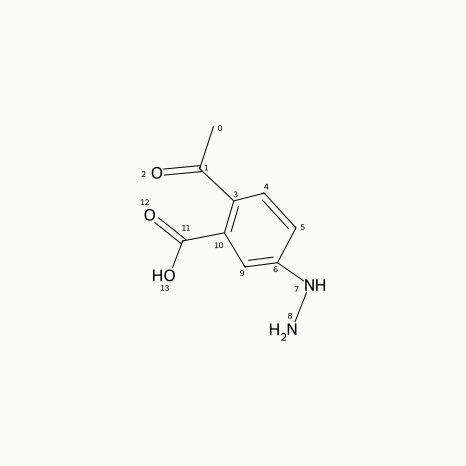 CC(=O)c1ccc(NN)cc1C(=O)O